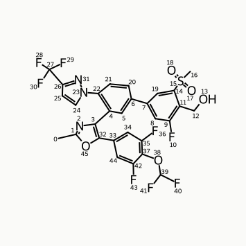 Cc1nc(-c2cc(-c3cc(F)c(CO)c(S(C)(=O)=O)c3)ccc2-n2ccc(C(F)(F)F)n2)c(-c2cc(F)c(OC(F)F)c(F)c2)o1